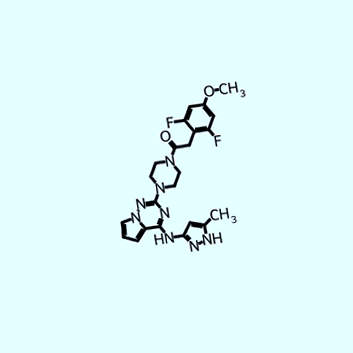 COc1cc(F)c(CC(=O)N2CCN(c3nc(Nc4cc(C)[nH]n4)c4cccn4n3)CC2)c(F)c1